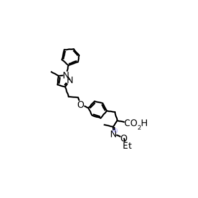 CCO/N=C(/C)C(Cc1ccc(OCCc2cc(C)n(-c3ccccc3)n2)cc1)C(=O)O